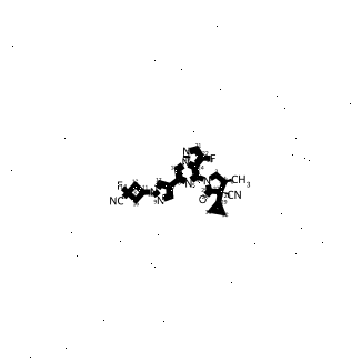 C[C@@H]1CN(c2nc(-c3cnn(C4CC(F)(C#N)C4)c3)cn3ncc(F)c23)C(=O)[C@]1(C#N)C1CC1